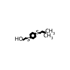 CC(C)=CCSc1ccc(SCCO)cc1